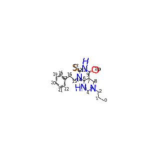 CCCN1CNC2C(C1)C(=O)NC(=S)N2CCc1ccccc1